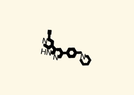 C#Cc1cc2c(cn1)[nH]c1ncc(-c3ccc(CN4CCCCC4)cc3)cc12